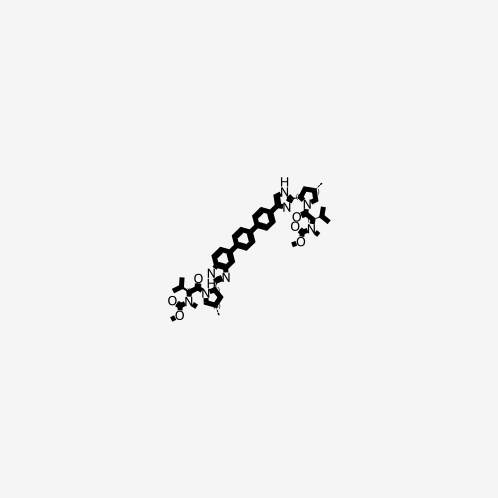 COC(=O)N(C)[C@H](C(=O)N1C[C@@H](C)C[C@H]1c1nc(-c2ccc(-c3ccc(-c4ccc5[nH]c([C@@H]6C[C@H](C)CN6C(=O)[C@H](C(C)C)N(C)C(=O)OC)nc5c4)cc3)cc2)c[nH]1)C(C)C